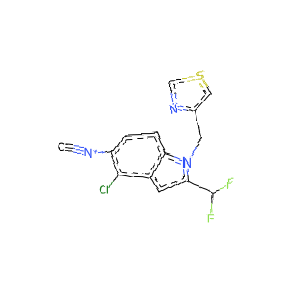 [C-]#[N+]c1ccc2c(cc(C(F)F)n2Cc2cscn2)c1Cl